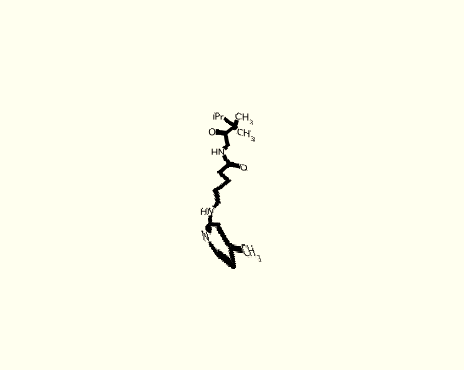 Cc1ccnc(NCCCCC(=O)NCC(=O)C(C)(C)C(C)C)c1